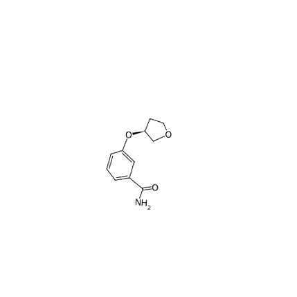 NC(=O)c1cccc(O[C@H]2CCOC2)c1